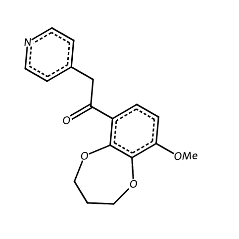 COc1ccc(C(=O)Cc2ccncc2)c2c1OCCCO2